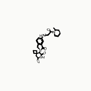 CC1CCCCN1C(=O)CNc1ccc2c(c1)C(=O)N(C1C(=O)NC(=O)CC13CCC3)C2